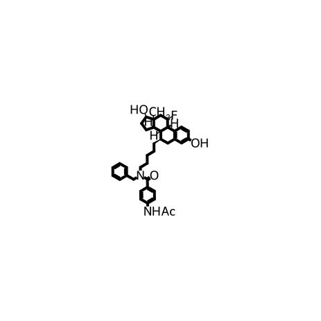 CC(=O)Nc1ccc(C(=O)N(CCCCC[C@@H]2Cc3cc(O)ccc3[C@@H]3[C@@H]2[C@@H]2CC[C@H](O)[C@@]2(C)C[C@@H]3F)Cc2ccccc2)cc1